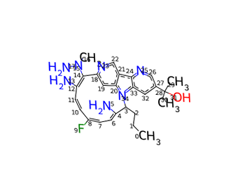 CCCC1/C(N)=C/C=C(F)\C=C/C(N)=C(/N(C)N)c2cc3c(cn2)c2ncc(C(C)(C)O)cc2n31